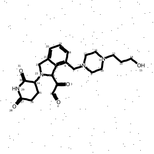 O=CC(=O)C1c2c(CN3CCN(CCCO)CC3)cccc2CN1C1CCC(=O)NC1=O